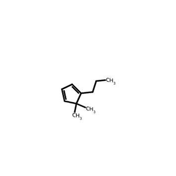 CCCC1=CC=CC1(C)C